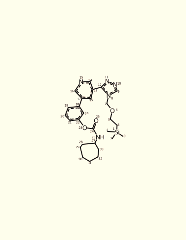 C[Si](C)(C)CCOCn1cnnc1-c1cncc(-c2cccc(OC(=O)NC3CCCCCC3)c2)c1